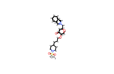 CS(=O)(=O)N1CCC(CCCOc2coc(Cn3cc4ccccc4c3)cc2=O)CC1